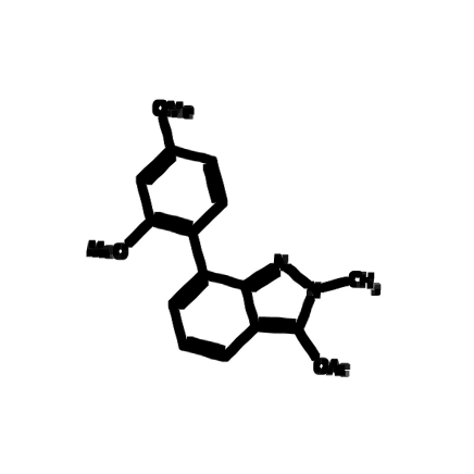 COc1ccc(-c2cccc3c(OC(C)=O)n(C)nc23)c(OC)c1